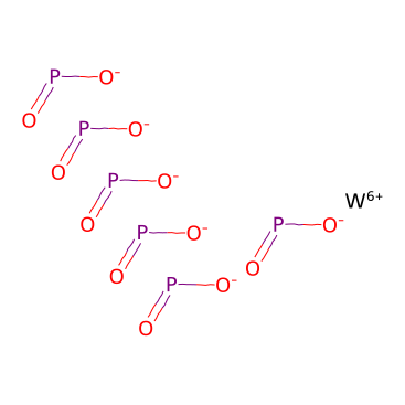 O=P[O-].O=P[O-].O=P[O-].O=P[O-].O=P[O-].O=P[O-].[W+6]